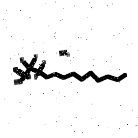 CCCCCCCCCCC(F)(F)C(F)(F)S(=O)(=O)O.N